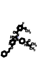 COc1cc(C(=O)/N=c2\[nH]c3cnc(OCCN4CCCCC4)cc3n2[C@H]2CC[C@@H](C(=O)NC(C)C)CC2)ccc1F